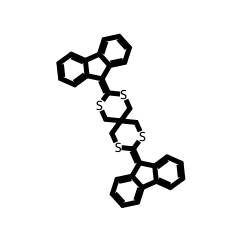 c1ccc2c(c1)C(=C1SCC3(CS1)CSC(=C1c4ccccc4-c4ccccc41)SC3)c1ccccc1-2